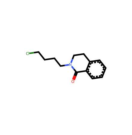 O=C1c2ccccc2CCN1CCCCCl